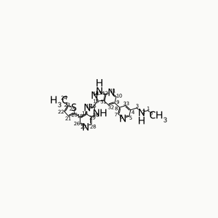 CCNCc1cncc(-c2cnc3[nH]nc(-c4nc5c(-c6ccc(C)s6)cncc5[nH]4)c3c2)c1